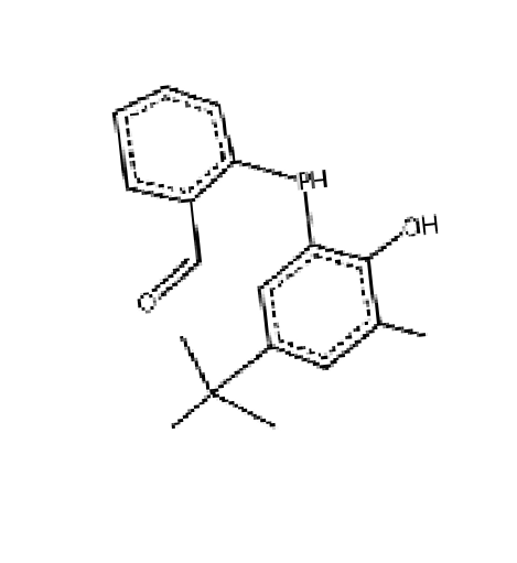 Cc1cc(C(C)(C)C)cc(Pc2ccccc2C=O)c1O